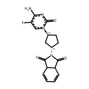 Nc1nc(=O)n([C@H]2CC[C@H](N3C(=O)C4C=CC=CC4C3=O)C2)cc1F